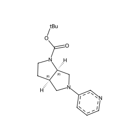 CC(C)(C)OC(=O)N1CC[C@@H]2CN(c3cccnc3)C[C@@H]21